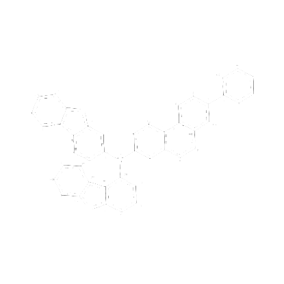 c1ccc(-c2ccc3c(ccc4cc(N(c5ccc6c(c5)sc5ccccc56)c5cccc6oc7ccccc7c56)ccc43)c2)cc1